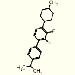 CC1CCC(c2ccc(-c3ccc(C(C)C)cc3)c(F)c2F)CC1